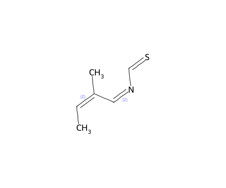 C/C=C(C)\C=N/C=S